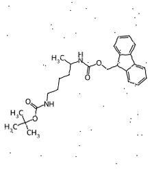 CC(CCCCNC(=O)OC(C)(C)C)NC(=O)OCC1c2ccccc2-c2ccccc21